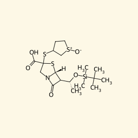 C[C@@H](O[Si](C)(C)C(C)(C)C)C1C(=O)N2CC(SC3CC[S+]([O-])C3)(C(=O)O)S[C@H]12